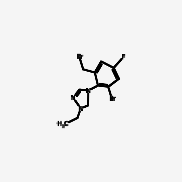 [CH2]CN1CN(c2c(Br)cc(F)cc2CBr)C=N1